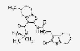 CC1CCc2sc(NC(=O)NCc3c(Br)sc4c3CCCC4)c(C(=O)OC(C)(C)C)c2C1